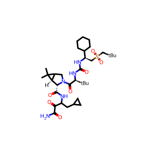 CC(C)(C)CS(=O)(=O)C[C@@H](NC(=O)N[C@H](C(=O)N1CC2[C@@H]([C@H]1C(=O)NC(CC1CC1)C(=O)C(N)=O)C2(C)C)C(C)(C)C)C1CCCCC1